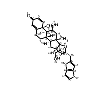 C[C@]12C=CC(=O)C=C1CC[C@H]1[C@@H]3C[C@H]4O[C@@H](Cc5cc6sccc6s5)O[C@@]4(C(=O)CO)[C@@]3(C)C[C@H](O)[C@@]12F